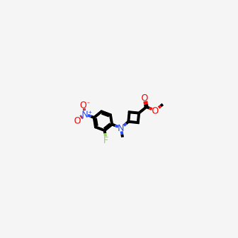 COC(=O)C1CC(N(C)c2ccc([N+](=O)[O-])cc2F)C1